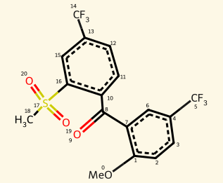 COc1ccc(C(F)(F)F)cc1C(=O)c1ccc(C(F)(F)F)cc1S(C)(=O)=O